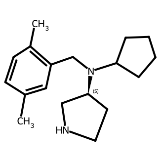 Cc1ccc(C)c(CN(C2CCCC2)[C@H]2CCNC2)c1